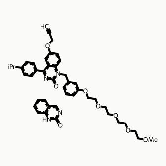 C#CCOc1ccc2c(c1)c(-c1ccc(C(C)C)cc1)nc(=O)n2Cc1cccc(OCCOCCOCCOCCOC)c1.O=c1ncc2ccccc2[nH]1